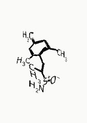 Cc1cc(C)c(CC(C)[S+](N)[O-])c(C)c1